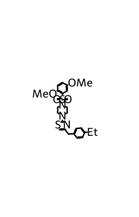 CCc1ccc(Cc2csc(N3CCN(S(=O)(=O)c4cc(OC)ccc4OC)CC3)n2)cc1